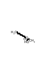 CCCCCCCCC(=O)OC(CC)CO